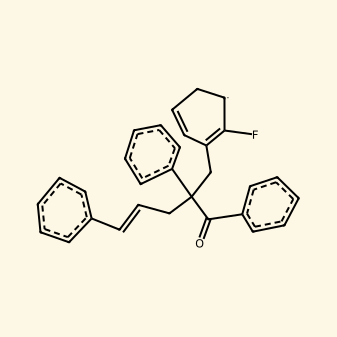 O=C(c1ccccc1)C(C/C=C/c1ccccc1)(CC1=C(F)[CH]CC=C1)c1ccccc1